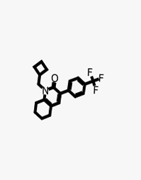 O=c1c(-c2ccc(C(F)(F)F)cc2)cc2c(n1CC1CCC1)CCCC2